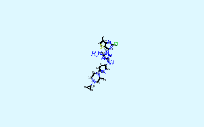 Cc1csc2c(-n3nc(Nc4ccc(N5CCN(C6CC6)CC5C)nc4)nc3N)nc(Cl)nc12